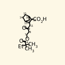 CCC(C)(C)C(=O)OCCC(=O)CC1C2CCC(C2)C1C(=O)O